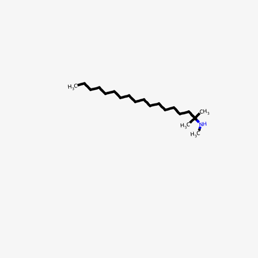 CCCCCCCCCCCCCCCCC(C)(C)NC